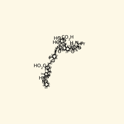 Cc1cc(N(C)c2nc(C(=O)O)c(CCCOc3ccc(C#CCN(C)C(=O)OCc4ccc(NC(=O)[C@H](C)NC(=O)[C@@H](N)C(C)C)cc4CC[C@@H]4O[C@H](C(=O)O)[C@@H](O)[C@H](O)[C@H]4O)cc3F)s2)nnc1Nc1nc2ccccc2s1